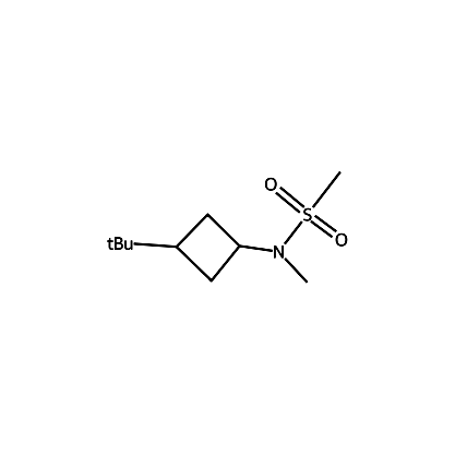 CN(C1CC(C(C)(C)C)C1)S(C)(=O)=O